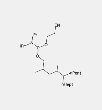 CCCCCCCC(CCCCC)C(C)CC(C)COP(OCCC#N)N(C(C)C)C(C)C